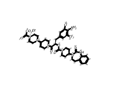 CCOC(=O)C(=O)N1CCN(C2CCN(C(=O)[C@@H](Cc3cc(Cl)c(N)c(C(F)(F)F)c3)OC(=O)N3CCC(N4CCc5ccccc5NC4=O)CC3)CC2)CC1